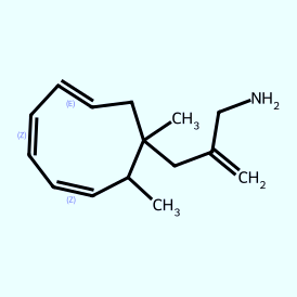 C=C(CN)CC1(C)C/C=C/C=C\C=C/C1C